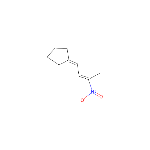 C/C(=C\C=C1CCCC1)[N+](=O)[O-]